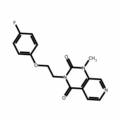 Cn1c(=O)n(CCOc2ccc(F)cc2)c(=O)c2ccncc21